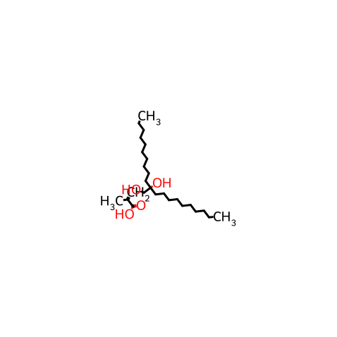 C=C(C)C(=O)O.CCCCCCCCCCC(O)(CO)CCCCCCCCCC